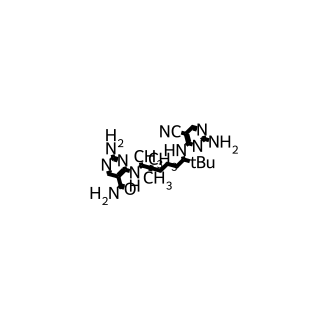 CC(Nc1nc(N)ncc1C(N)=O)C(C)(C)CCCC(Nc1nc(N)ncc1C#N)C(C)(C)C